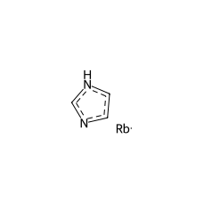 [Rb].c1c[nH]cn1